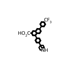 O=C(O)c1cc(-c2ccc(C34CCNC(C3)C4)cc2)c2ccc(-c3ccc(C(F)(F)F)cc3)cc2c1